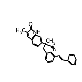 Cc1cc2ccc(C(C)(C#N)Cc3cccc(C=Cc4ccccc4)c3)cc2[nH]c1=O